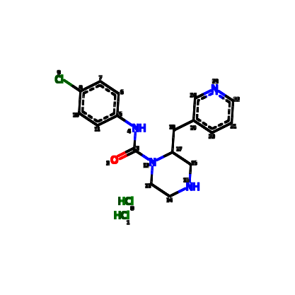 Cl.Cl.O=C(Nc1ccc(Cl)cc1)N1CCNCC1Cc1cccnc1